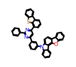 c1ccc(-c2nc(-c3cccc(-n4c5ccccc5c5c6oc7ccccc7c6ccc54)c3)cc(-c3cccc4c3sc3ccccc34)n2)cc1